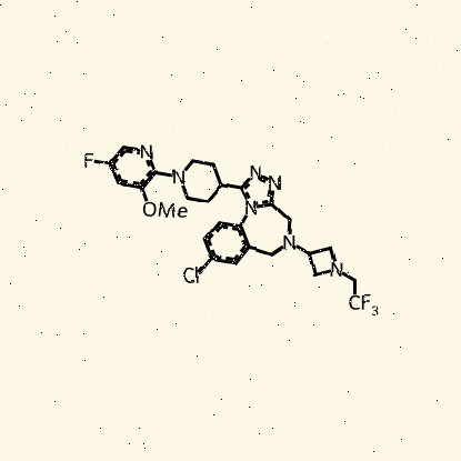 COc1cc(F)cnc1N1CCC(c2nnc3n2-c2ccc(Cl)cc2CN(C2CN(CC(F)(F)F)C2)C3)CC1